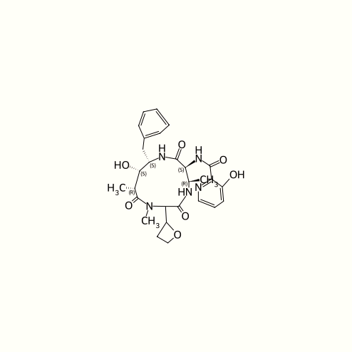 C[C@H]1NC(=O)C(C2CCO2)N(C)C(=O)[C@H](C)[C@H](O)[C@H](Cc2ccccc2)NC(=O)[C@H]1NC(=O)c1ncccc1O